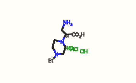 CCN1CCN([C@@H](CN)C(=O)O)CC1.Cl.Cl.Cl